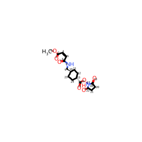 COC(=O)/C=C\C(=O)NC[C@H]1CC[C@H](C(=O)ON2C(=O)CCC2O)CC1